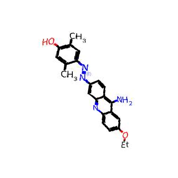 CCOc1ccc2nc3cc(/N=N/c4cc(C)c(O)cc4C)ccc3c(N)c2c1